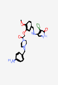 COc1ccc(CNc2cn[nH]c(=O)c2Cl)cc1OCC(=O)N1CCN(Cc2ccc(N)cc2)CC1